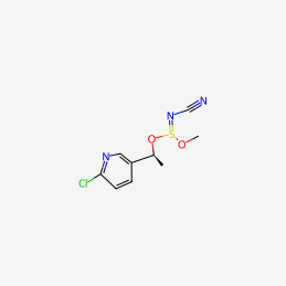 COS(=NC#N)O[C@@H](C)c1ccc(Cl)nc1